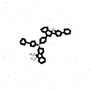 CC1(C)c2ccccc2-c2ccc(N(c3ccc(-c4ccccc4)cc3)c3ccc(-c4cc5c6ccc(-c7ccccc7)cc6oc5c5ccccc45)cc3)cc21